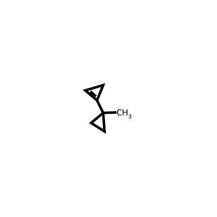 CC1(C2=CC2)CC1